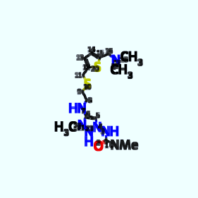 CNC(=O)NN1C=C(NCCSCc2ccc(CN(C)C)s2)N(C)N1